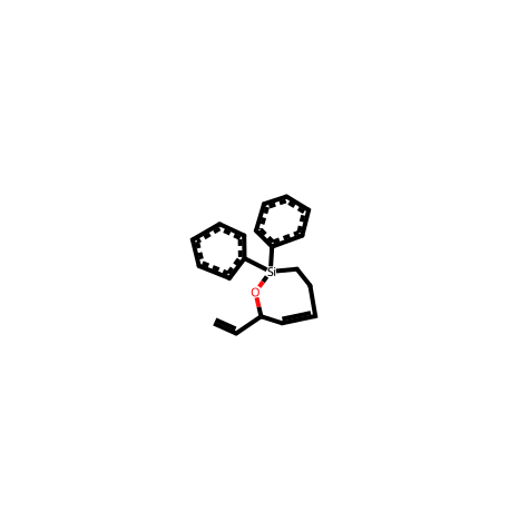 C=CC1C=CCC[Si](c2ccccc2)(c2ccccc2)O1